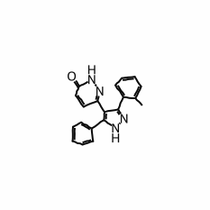 Cc1ccccc1-c1n[nH]c(-c2ccccc2)c1-c1ccc(=O)[nH]n1